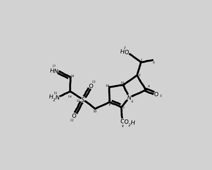 CC(O)C1C(=O)N2C(C(=O)O)=C(CS(=O)(=O)C(N)C=N)CC12